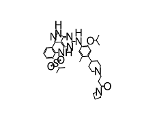 Cc1cc(Nc2nc3c4c(n[nH]c4n2)-c2cccc(S(=O)(=O)C(C)C)c2N3)c(OC(C)C)cc1C1CCN(CCC(=O)N2CCC2)CC1